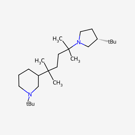 CC(C)(CCC(C)(C)N1CC[C@H](C(C)(C)C)C1)C1CCCN(C(C)(C)C)C1